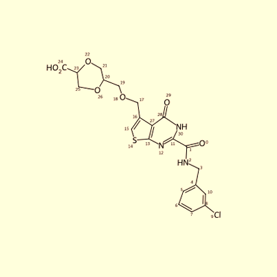 O=C(NCc1cccc(Cl)c1)c1nc2scc(COCC3COC(C(=O)O)CO3)c2c(=O)[nH]1